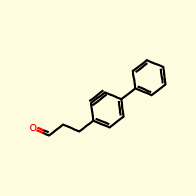 O=CCCc1c#cc(-c2ccccc2)cc1